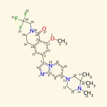 COc1cc(-c2cnc3cc(N4CCN(C)C(C)(C)C4)ccn23)cc2c1C(=O)N(CC(F)(F)F)CC2